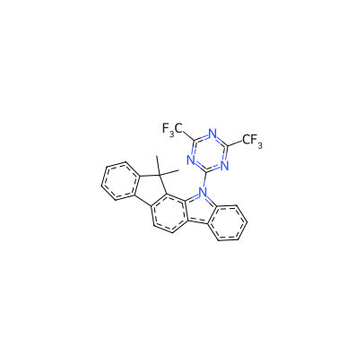 CC1(C)c2ccccc2-c2ccc3c4ccccc4n(-c4nc(C(F)(F)F)nc(C(F)(F)F)n4)c3c21